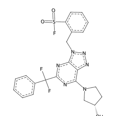 O=S(=O)(F)c1ccccc1Cn1nnc2c(N3CC[C@H](O)C3)nc(C(F)(F)c3ccccc3)nc21